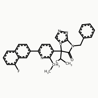 COc1nc(-c2ccc3cccc(F)c3c2)ccc1C1(C(C)C)C(=O)N(Cc2ccccc2)c2nncn21